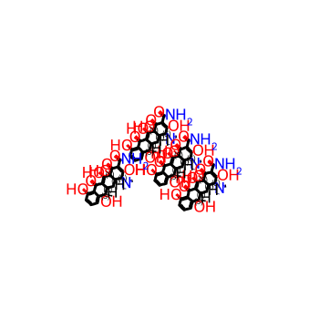 CN(C)[C@@H]1C(O)=C(C(N)=O)C(=O)[C@@]2(O)C(O)=C3C(=O)c4c(O)cccc4[C@@](C)(O)[C@H]3C[C@@H]12.CN(C)[C@@H]1C(O)=C(C(N)=O)C(=O)[C@@]2(O)C(O)=C3C(=O)c4c(O)cccc4[C@@](C)(O)[C@H]3C[C@@H]12.CN(C)[C@@H]1C(O)=C(C(N)=O)C(=O)[C@@]2(O)C(O)=C3C(=O)c4c(O)cccc4[C@@](C)(O)[C@H]3C[C@@H]12.CN(C)[C@@H]1C(O)=C(C(N)=O)C(=O)[C@@]2(O)C(O)=C3C(=O)c4c(O)cccc4[C@@](C)(O)[C@H]3C[C@@H]12